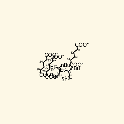 CCCCC(CC)[CH2][Sn+3].CCCCC(CC)[CH2][Sn+3].O=C([O-])CCCCC(=O)[O-].O=C([O-])CCCCC(=O)[O-].O=C([O-])CCCCC(=O)[O-]